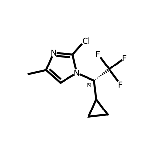 Cc1cn([C@@H](C2CC2)C(F)(F)F)c(Cl)n1